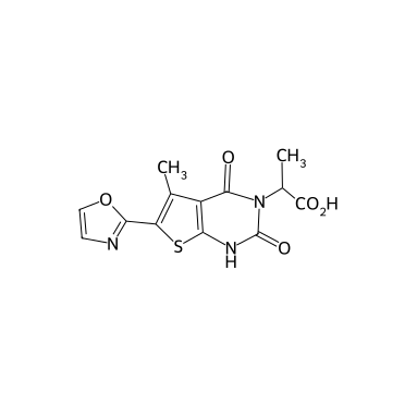 Cc1c(-c2ncco2)sc2[nH]c(=O)n(C(C)C(=O)O)c(=O)c12